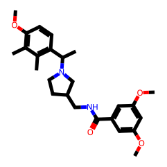 COc1cc(OC)cc(C(=O)NCC2CCN(C(C)c3ccc(OC)c(C)c3C)C2)c1